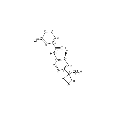 O=C(Nc1ccc(C2(C(=O)O)CCC2)cc1F)c1cccc(Cl)c1